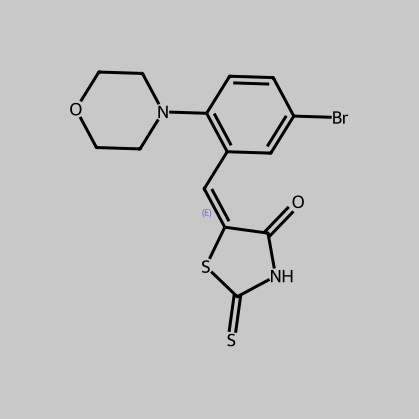 O=C1NC(=S)S/C1=C/c1cc(Br)ccc1N1CCOCC1